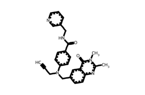 C#CCN(Cc1ccc2nc(C)n(C)c(=O)c2c1)c1ccc(C(=O)NCc2cccnc2)cc1